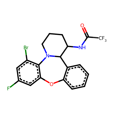 O=C(NC1CCCN2c3c(Br)cc(F)cc3Oc3ccccc3C12)C(F)(F)F